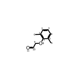 Cc1cccc(C)c1OC[C]=O